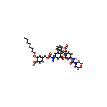 CCCCCCCCOc1cc(COC(=O)Nc2ccc3c(c2)Oc2cc(NC(=O)N4CCOCC4)ccc2C32OC(=O)c3ccccc32)ccc1OC